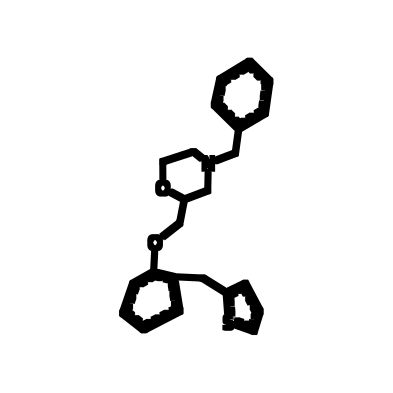 c1ccc(CN2CCOC(COc3ccccc3Cc3cccs3)C2)cc1